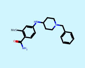 CSc1cc(NC2CCN(Cc3ccccc3)CC2)ccc1C(N)=O